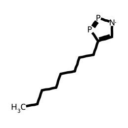 CCCCCCCCC1=C[N]P=P1